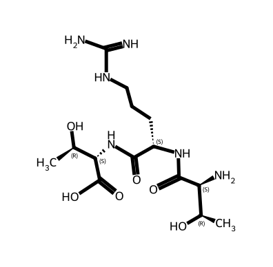 C[C@@H](O)[C@H](N)C(=O)N[C@@H](CCCNC(=N)N)C(=O)N[C@H](C(=O)O)[C@@H](C)O